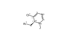 CC(=O)C[C@H]1C(Cl)=CN=CN1C